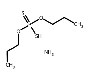 CCCOP(=S)(S)OCCC.N